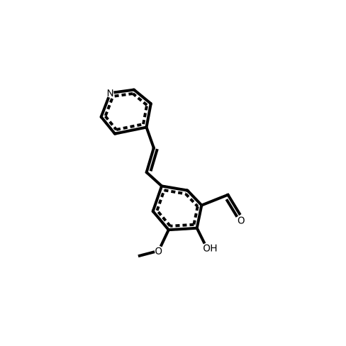 COc1cc(C=Cc2ccncc2)cc(C=O)c1O